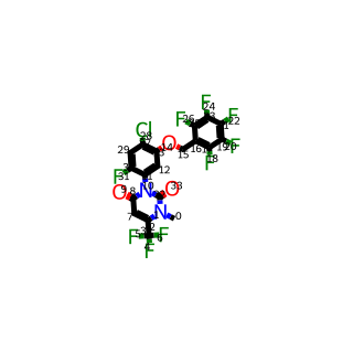 Cn1c(C(F)(F)F)cc(=O)n(-c2cc(OCc3c(F)c(F)c(F)c(F)c3F)c(Cl)cc2F)c1=O